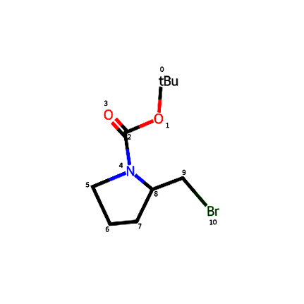 CC(C)(C)OC(=O)N1CCCC1CBr